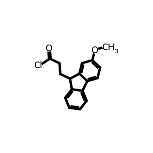 COc1ccc2c(c1)C(CCC(=O)Cl)c1ccccc1-2